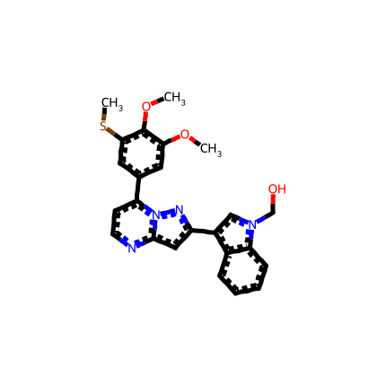 COc1cc(-c2ccnc3cc(-c4cn(CO)c5ccccc45)nn23)cc(SC)c1OC